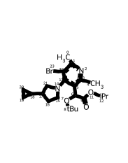 Cc1nc(C)c(C(OC(C)(C)C)C(=O)OC(C)C)c(N2CCC(C3CC3)C2)c1Br